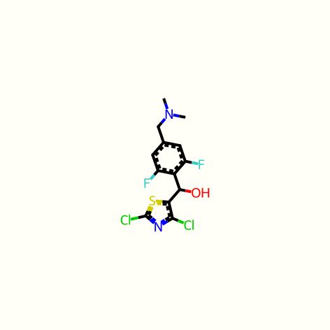 CN(C)Cc1cc(F)c(C(O)c2sc(Cl)nc2Cl)c(F)c1